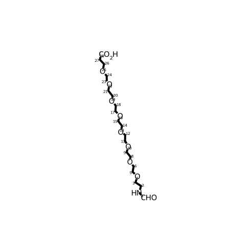 O=CNCCOCCOCCOCCOCCOCCOCCOCCOCCC(=O)O